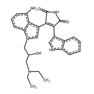 CCN(CC)CC(O)Cn1cc(C2=C(c3c[nH]c4ccccc34)C(=O)NC2=O)c2c(N)cccc21